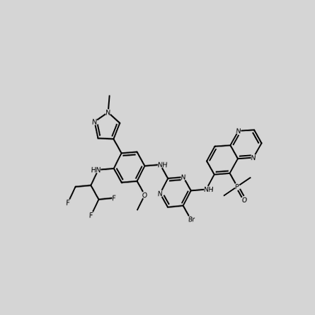 COc1cc(NC(CF)C(F)F)c(-c2cnn(C)c2)cc1Nc1ncc(Br)c(Nc2ccc3nccnc3c2P(C)(C)=O)n1